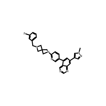 Cn1cc(-c2cc(-c3ccc(N4CC5(CN(Cc6cccc(F)c6)C5)C4)nc3)c3cncnc3c2)cn1